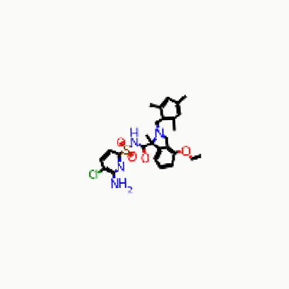 CCOc1cccc2c1CN(Cc1c(C)cc(C)cc1C)C2(C)C(=O)NS(=O)(=O)c1ccc(Cl)c(N)n1